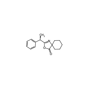 C[C@@H](C1=NC2(CCCCC2)C(=O)O1)c1ccccc1